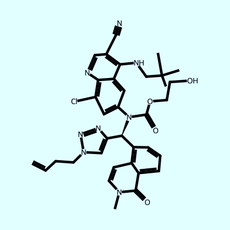 C=CCCn1cc([C@H](c2cccc3c(=O)n(C)ccc23)N(C(=O)OCCO)c2cc(Cl)c3ncc(C#N)c(NCC(C)(C)C)c3c2)nn1